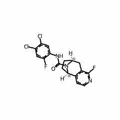 O=C(Nc1cc(Cl)c(Cl)cc1F)N1[C@H]2CC[C@@H]1c1ccnc(F)c1C2